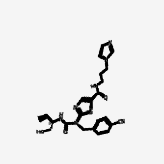 C=C[C@@H](CO)NC(=O)N(Cc1ccc(C#N)cc1)c1ncc(C(=O)NCCCn2ccnc2)s1